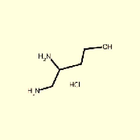 Cl.NCC(N)CCO